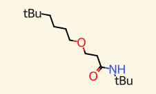 CC(C)(C)CCCCOCCC(=O)NC(C)(C)C